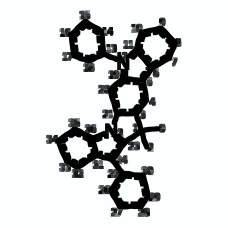 CC1(C)c2cc3c4ccccc4n(-c4ccccc4)c3cc2-n2c1c(-c1ccccc1)c1ccccc12